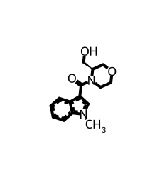 Cn1cc(C(=O)N2CCOC[C@@H]2CO)c2ccccc21